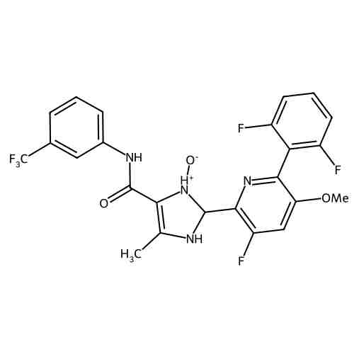 COc1cc(F)c(C2NC(C)=C(C(=O)Nc3cccc(C(F)(F)F)c3)[NH+]2[O-])nc1-c1c(F)cccc1F